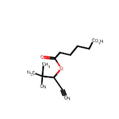 C#CC(OC(=O)CCCCC(=O)O)C(C)(C)C#N